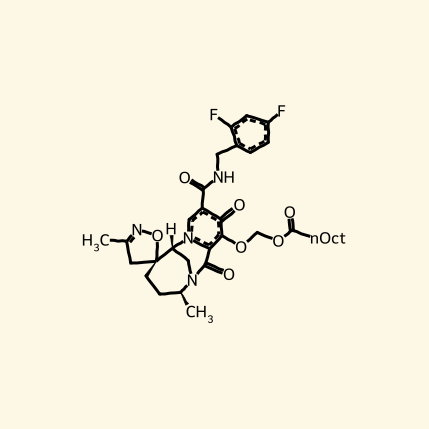 CCCCCCCCC(=O)OCOc1c2n(cc(C(=O)NCc3ccc(F)cc3F)c1=O)[C@@H]1CN(C2=O)[C@@H](C)CC[C@]12CC(C)=NO2